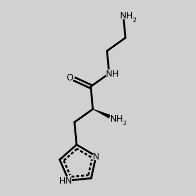 NCCNC(=O)[C@@H](N)Cc1c[nH]cn1